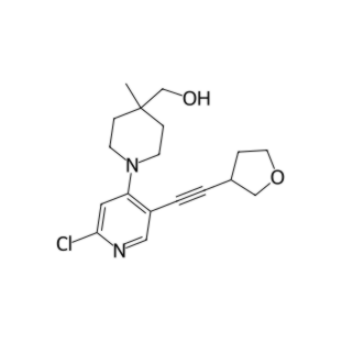 CC1(CO)CCN(c2cc(Cl)ncc2C#CC2CCOC2)CC1